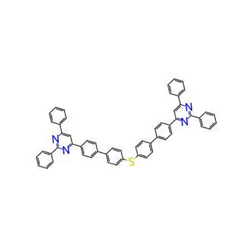 c1ccc(-c2cc(-c3ccc(-c4ccc(Sc5ccc(-c6ccc(-c7cc(-c8ccccc8)nc(-c8ccccc8)n7)cc6)cc5)cc4)cc3)nc(-c3ccccc3)n2)cc1